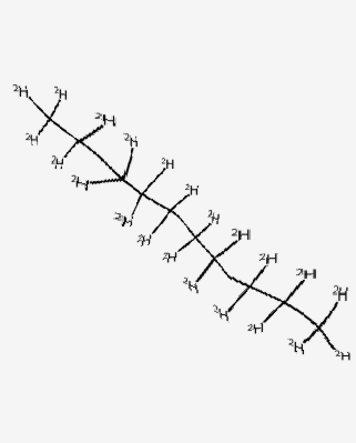 [2H]C([2H])([2H])C([2H])([2H])C([2H])([2H])C([2H])([2H])C([2H])([2H])C([2H])([2H])C([2H])([2H])C([2H])([2H])C([2H])([2H])C([2H])([2H])[2H]